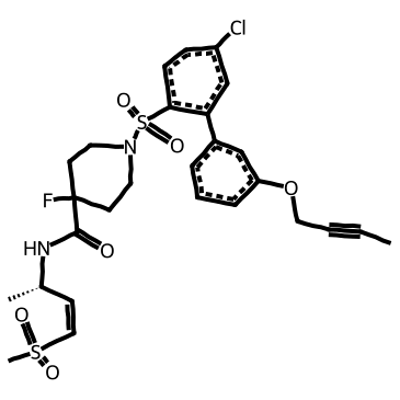 CC#CCOc1cccc(-c2cc(Cl)ccc2S(=O)(=O)N2CCC(F)(C(=O)N[C@@H](C)/C=C\S(C)(=O)=O)CC2)c1